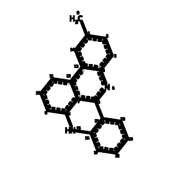 Cc1ccc2nc3c4c(cccc4c2c1)Nc1ccccc1-3